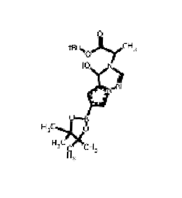 CC(C(=O)OC(C)(C)C)N1C=Nn2cc(B3OC(C)(C)C(C)(C)O3)cc2C1O